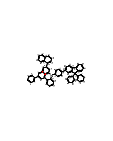 c1ccc(-c2cccc(-c3ccccc3N(c3ccc(-c4ccc5c(c4)C(c4ccccc4)(c4ccccc4)c4ccccc4-5)cc3)c3cccc(-c4cccc5ccccc45)c3)c2)cc1